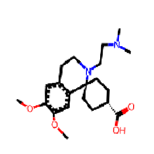 COc1cc2c(cc1OC)[C@]1(CC[C@@H](C(=O)O)CC1)N(CCN(C)C)CC2